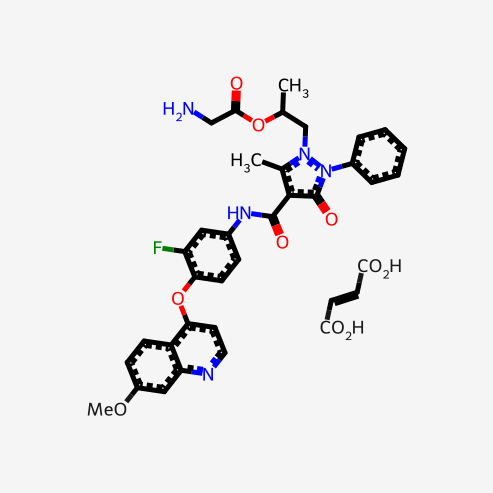 COc1ccc2c(Oc3ccc(NC(=O)c4c(C)n(CC(C)OC(=O)CN)n(-c5ccccc5)c4=O)cc3F)ccnc2c1.O=C(O)C=CC(=O)O